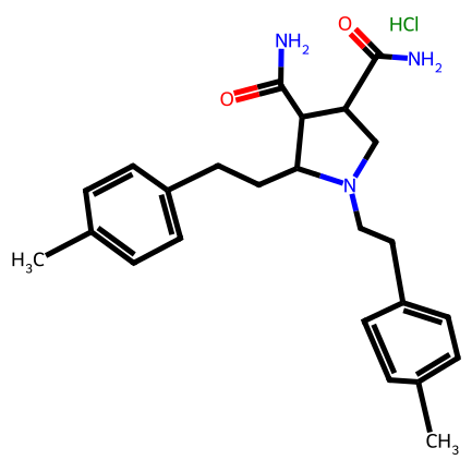 Cc1ccc(CCC2C(C(N)=O)C(C(N)=O)CN2CCc2ccc(C)cc2)cc1.Cl